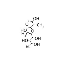 CC[C@@H](O)[C@H](O)[C@@H](O)[C@@H](C)O[C@@H]1[C@@H](C)[C@H](O)CO[C@H]1O